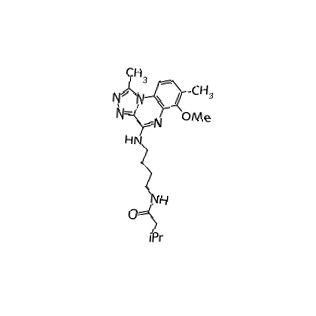 COc1c(C)ccc2c1nc(NCCCCNC(=O)CC(C)C)c1nnc(C)n12